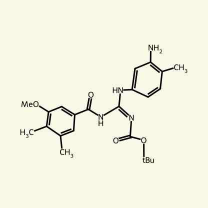 COc1cc(C(=O)N/C(=N\C(=O)OC(C)(C)C)Nc2ccc(C)c(N)c2)cc(C)c1C